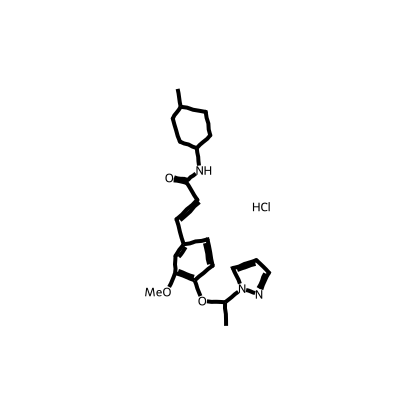 COc1cc(C=CC(=O)NC2CCC(C)CC2)ccc1OC(C)n1cccn1.Cl